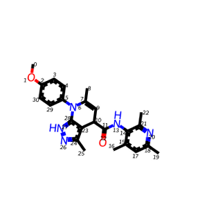 COc1ccc(N2C(C)=CC(C(=O)Nc3c(C)cc(C)nc3C)c3c(C)n[nH]c32)cc1